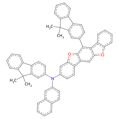 CC1(C)c2ccccc2-c2ccc(-c3c4oc5cc(N(c6ccc7c(c6)C(C)(C)c6ccccc6-7)c6ccc7ccccc7c6)ccc5c4cc4oc5ccccc5c34)cc21